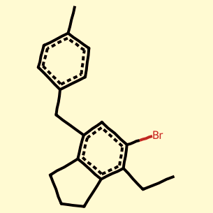 CCc1c(Br)cc(Cc2ccc(C)cc2)c2c1CCC2